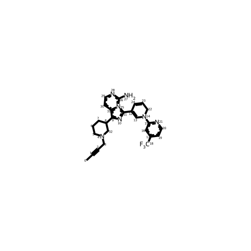 CC#CCN1CCCC(c2nc(C3=CN(c4cc(C(F)(F)F)ccn4)CC=C3)n3c(N)nccc23)C1